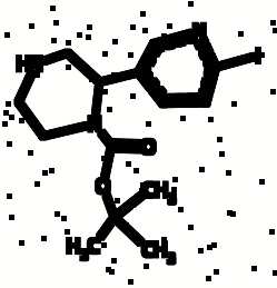 CC(C)(C)OC(=O)N1CCNCC1c1ccc(I)nc1